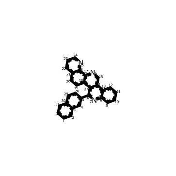 c1ccc2cc(-c3nc4ccccc4c4cnc5c(ccc6cccnc65)c34)ccc2c1